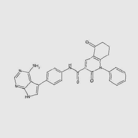 Nc1ncnc2[nH]cc(-c3ccc(NC(=O)c4cc5c(n(-c6ccccc6)c4=O)CCCC5=O)cc3)c12